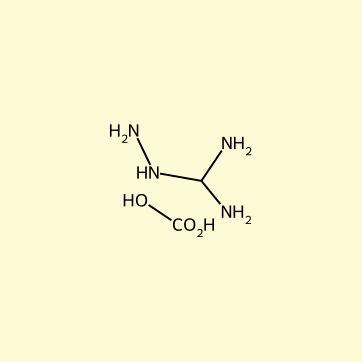 NNC(N)N.O=C(O)O